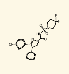 O=C(NS(=O)(=O)N1CCC(F)(F)CC1)N1CC(c2ccccc2)C(c2ccc(Cl)cc2)=N1